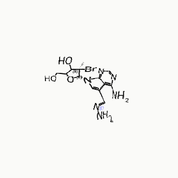 C[C@@]1(Br)C(O)C(CO)O[C@H]1n1cc(/C=N/N)c2c(N)ncnc21